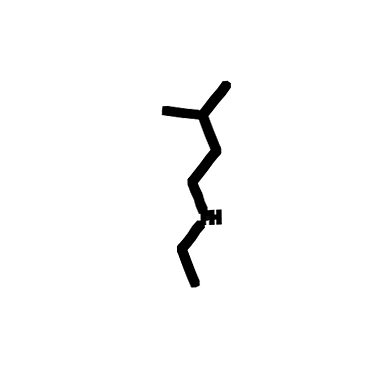 CCPCCC(C)C